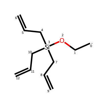 [CH2]CO[Si](CC=C)(CC=C)CC=C